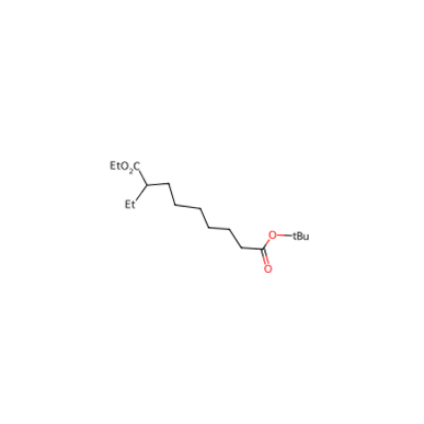 CCOC(=O)C(CC)CCCCCCC(=O)OC(C)(C)C